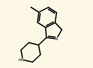 Cc1ccc2c(c1)C(C1CCNCC1)=NC2